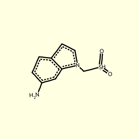 Nc1ccc2ccn(C[SH](=O)=O)c2c1